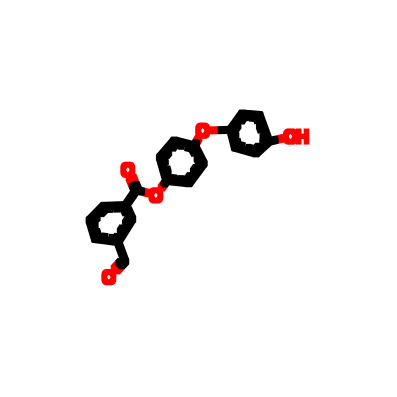 O=Cc1cccc(C(=O)Oc2ccc(Oc3ccc(O)cc3)cc2)c1